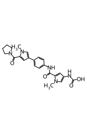 Cn1cc(NC(=O)O)cc1C(=O)Nc1ccc(-c2cc(C(=O)N3CCCC3)n(C)c2)cc1